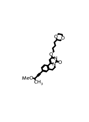 COC(C)C#Cc1ccc2c(c1)CCn1c-2cc(OCCCCC2COCCO2)nc1=O